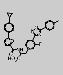 Cc1ccc(-c2nc(-c3ccc(CC(NC(=O)c4ccc(-c5ccc(C6CC6)cc5)o4)C(=O)O)cc3F)no2)cc1